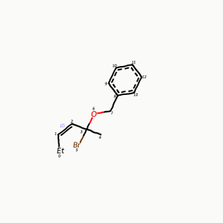 CC/C=C\C(C)(Br)OCc1ccccc1